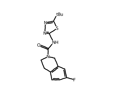 CC(C)(C)c1nnc(NC(=O)N2CCc3ccc(F)cc3C2)s1